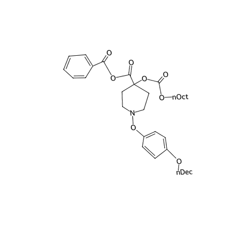 CCCCCCCCCCOc1ccc(ON2CCC(OC(=O)OCCCCCCCC)(C(=O)OC(=O)c3ccccc3)CC2)cc1